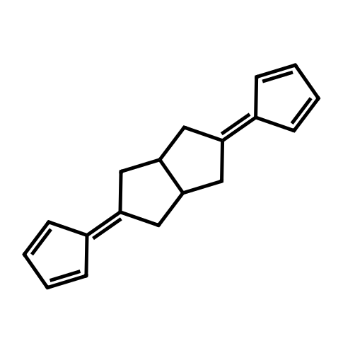 C1=CC(=C2CC3CC(=C4C=CC=C4)CC3C2)C=C1